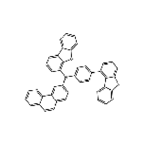 c1ccc2c(c1)ccc1ccc(N(c3ccc(-c4cccc5sc6ccccc6c45)cc3)c3cccc4c3oc3ccccc34)cc12